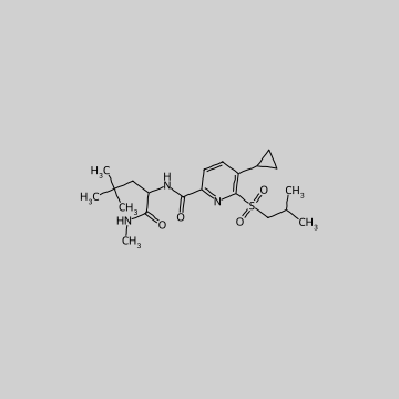 CNC(=O)C(CC(C)(C)C)NC(=O)c1ccc(C2CC2)c(S(=O)(=O)CC(C)C)n1